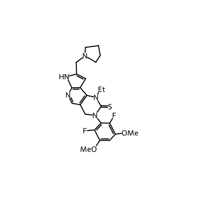 CCN1C(=S)N(c2c(F)c(OC)cc(OC)c2F)Cc2cnc3[nH]c(CN4CCCC4)cc3c21